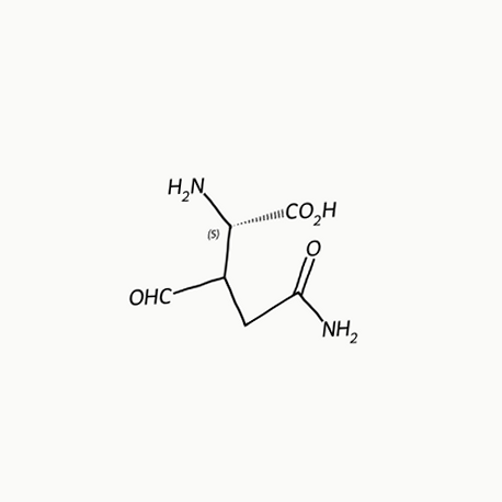 NC(=O)CC(C=O)[C@H](N)C(=O)O